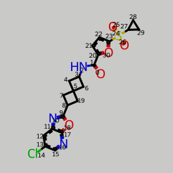 O=C(NC1CC2(C1)CC(c1nc3cc(Cl)cnc3o1)C2)c1ccc(S(=O)(=O)C2CC2)o1